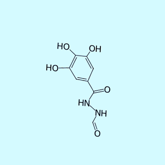 O=CNNC(=O)c1cc(O)c(O)c(O)c1